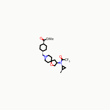 COC(=O)[C@H]1CC[C@H](CN2CCC3(CC2)CC(N(C(=O)C(F)(F)F)[C@@H]2C[C@H]2C)CO3)CC1